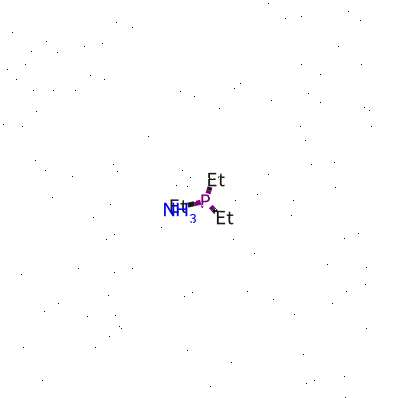 CCP(CC)CC.N